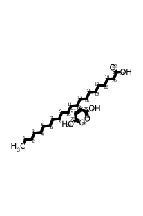 CCCCCCCCCCCCCCCCCCCCCC(=O)O.O=C(O)/C=C\C(=O)O